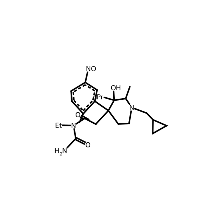 CCCC1(O)C(C)N(CC2CC2)CCC1(CC(=O)N(CC)C(N)=O)c1cc(N=O)ccc1C